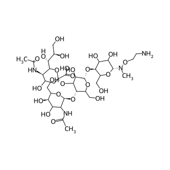 CC(=O)NC1C(O)[C@@H](O)C(CO)O[C@H]1O[C@H]1C(CO)O[C@@H](O[C@@H]2C(CO)O[C@@H](N(C)OCCN)C(O)C2O)C(O)C1O[C@]1(C(=O)O)CC(O)[C@@H](NC(C)=O)C([C@H](O)[C@H](O)CO)O1